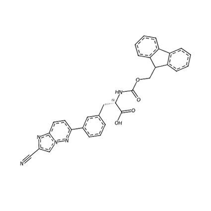 N#Cc1cn2nc(-c3cccc(C[C@H](NC(=O)OCC4c5ccccc5-c5ccccc54)C(=O)O)c3)ccc2n1